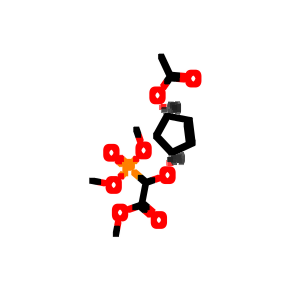 COC(=O)C(O[C@H]1C=C[C@@H](OC(C)=O)C1)P(=O)(OC)OC